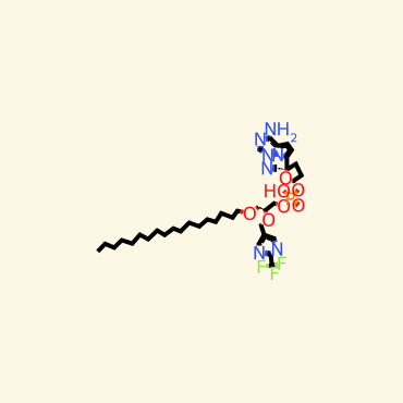 CCCCCCCCCCCCCCCCCCOC[C@H](COP(=O)(O)O[C@@H]1CC[C@](C#N)(c2ccc3c(N)ncnn23)O1)OCc1cnc(C(F)(F)F)nc1